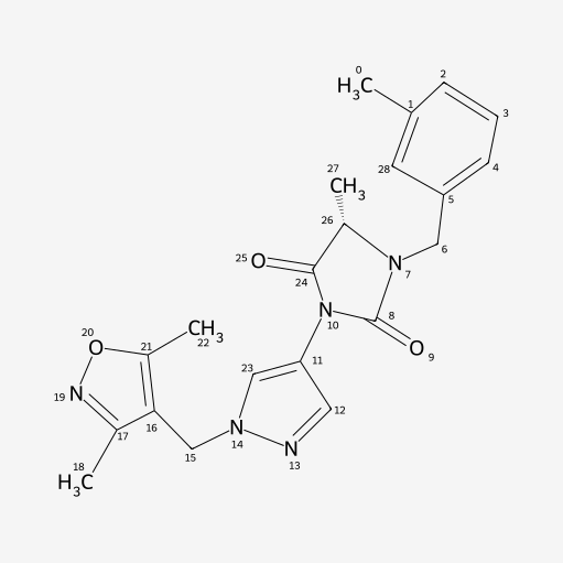 Cc1cccc(CN2C(=O)N(c3cnn(Cc4c(C)noc4C)c3)C(=O)[C@@H]2C)c1